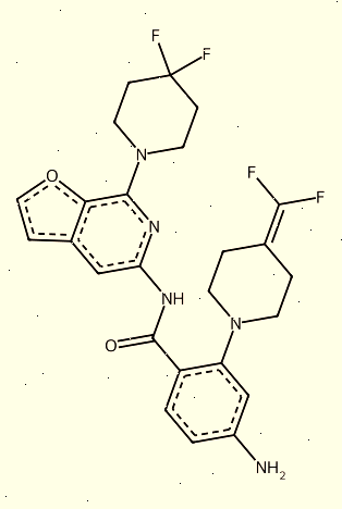 Nc1ccc(C(=O)Nc2cc3ccoc3c(N3CCC(F)(F)CC3)n2)c(N2CCC(=C(F)F)CC2)c1